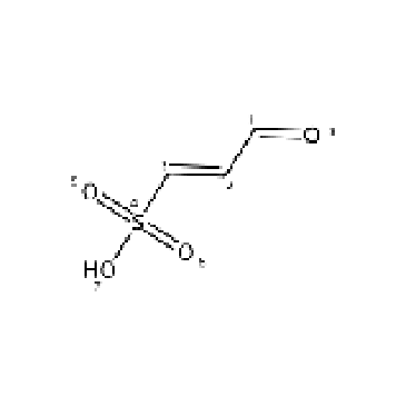 O=CC=CS(=O)(=O)O